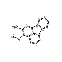 CCOc1c(C=O)cc2c3c(cccc13)-c1ccccc1-2